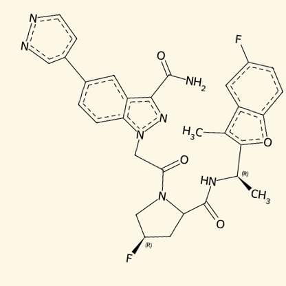 Cc1c([C@@H](C)NC(=O)C2C[C@@H](F)CN2C(=O)Cn2nc(C(N)=O)c3cc(-c4ccnnc4)ccc32)oc2ccc(F)cc12